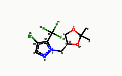 CC1(C)OC[C@@H](Cn2ncc(Br)c2C(F)(F)F)O1